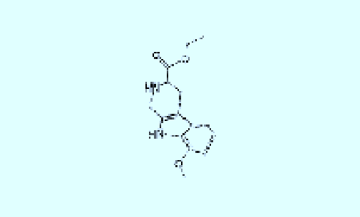 CCOC(=O)C1Cc2c([nH]c3c(OC)cccc23)CN1